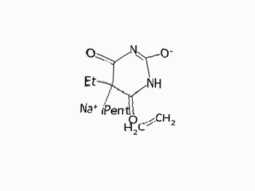 C=C.CCCC(C)C1(CC)C(=O)N=C([O-])NC1=O.[Na+]